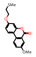 COc1ccc2c(c1)c(=O)oc1cc(OCCSC)ccc12